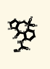 CC(C)(C)C(=O)Nc1cccc2c1C(=O)c1sccc1CS2(=O)=O